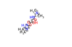 CCN(CC)CCNC(=O)CC(O)C(=O)OC(N)CN(CC)CC